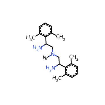 Cc1cccc(C)c1C(N)C[N]([Ni])CC(N)c1c(C)cccc1C